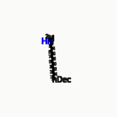 [2H]NC=CCCCCCCCCCCCCCCCCCCCCCC